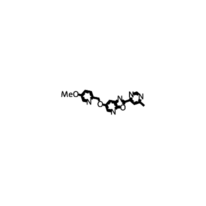 COc1ccc(COc2cnc3oc(-c4cc(C)ncn4)nc3c2)nc1